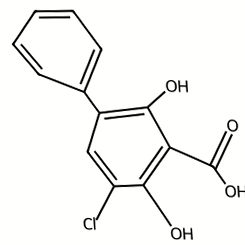 O=C(O)c1c(O)c(Cl)cc(-c2ccccc2)c1O